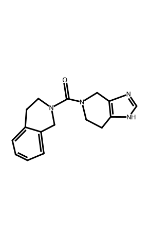 O=C(N1CCc2ccccc2C1)N1CCc2[nH]cnc2C1